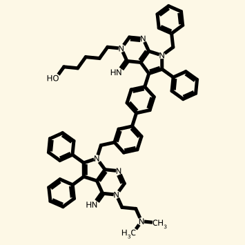 CN(C)CCn1cnc2c(c(-c3ccccc3)c(-c3ccccc3)n2Cc2cccc(-c3ccc(-c4c(-c5ccccc5)n(Cc5ccccc5)c5ncn(CCCCCO)c(=N)c45)cc3)c2)c1=N